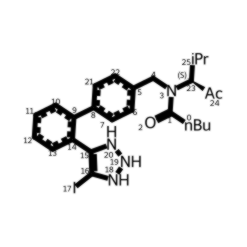 CCCCC(=O)N(Cc1ccc(-c2ccccc2C2=C(I)NNN2)cc1)[C@H](C(C)=O)C(C)C